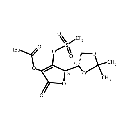 CC1(C)OC[C@@H]([C@H]2OC(=O)C(OC(=O)C(C)(C)C)=C2OS(=O)(=O)C(F)(F)F)O1